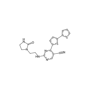 N#Cc1cnc(NCCN2CCNC2=O)nc1-c1ccc(-c2cccs2)s1